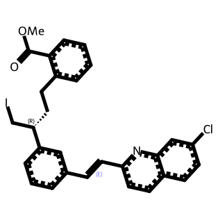 COC(=O)c1ccccc1CC[C@@H](CI)c1cccc(/C=C/c2ccc3ccc(Cl)cc3n2)c1